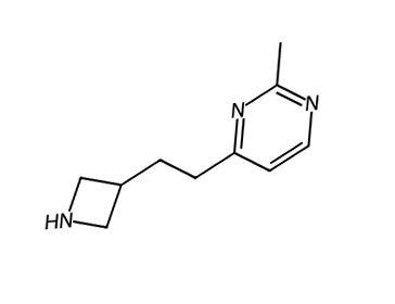 Cc1nccc(CCC2CNC2)n1